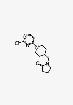 O=C1CCCN1CC1CCN(c2ccnc(Cl)n2)CC1